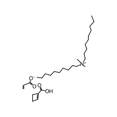 C=CC(=O)[O-].CCCCCCCCCC[N+](C)(C)CCCCCCCCCC.O=C(O)C1=CCC1